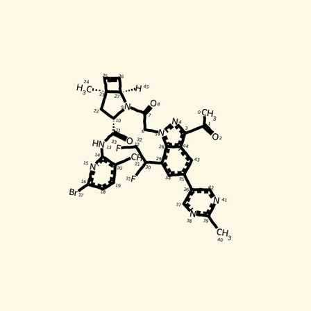 CC(=O)c1nn(CC(=O)N2[C@H](C(=O)Nc3nc(Br)ccc3C)C[C@@]3(C)C=C[C@@H]23)c2c(C(F)CF)cc(-c3cnc(C)nc3)cc12